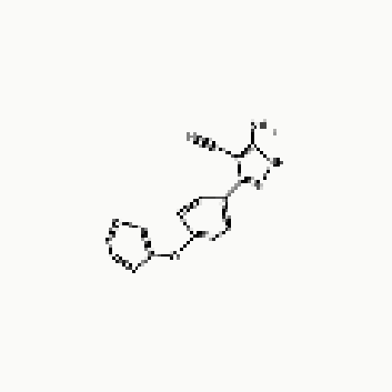 N#Cc1c(-c2ccc(Oc3ccccc3)cc2)n[nH]c1[AsH2]